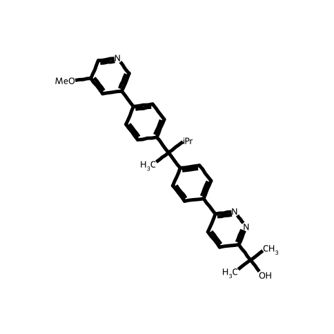 COc1cncc(-c2ccc(C(C)(c3ccc(-c4ccc(C(C)(C)O)nn4)cc3)C(C)C)cc2)c1